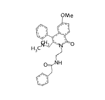 COc1ccc2c(=O)n(CCNC(=O)Cc3ccccc3)c(CN(C)C)c(-c3ccccc3)c2c1